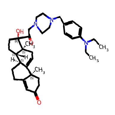 CCN(CC)c1ccc(CN2CCN(CC(=O)[C@@]3(O)CC[C@H]4[C@@H]5CCC6=CC(=O)CC[C@]6(C)C5=CC[C@@]43C)CC2)cc1